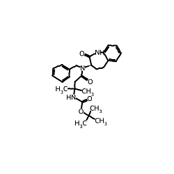 CC(C)(CC(=O)N(Cc1ccccc1)[C@@H]1CCc2ccccc2NC1=O)NC(=O)OC(C)(C)C